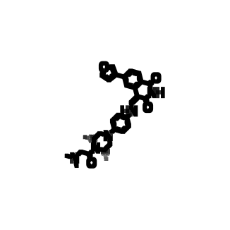 C[C@@H]1CN(c2ccc(NC=C3C(=O)NC(=O)c4ccc(-c5ccoc5)cc43)cc2)C[C@H](C)N1C(=O)CN(C)C